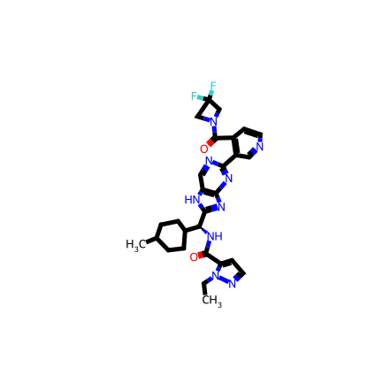 CCn1nccc1C(=O)N[C@H](c1nc2nc(-c3cnccc3C(=O)N3CC(F)(F)C3)ncc2[nH]1)C1CCC(C)CC1